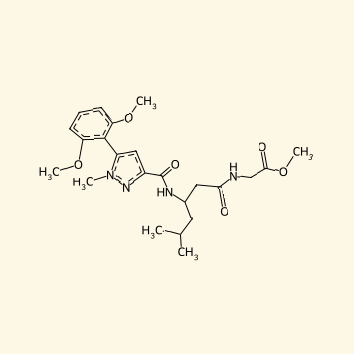 COC(=O)CNC(=O)CC(CC(C)C)NC(=O)c1cc(-c2c(OC)cccc2OC)n(C)n1